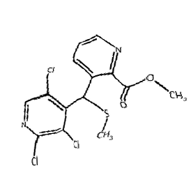 COC(=O)c1ncccc1C(SC)c1c(Cl)cnc(Cl)c1Cl